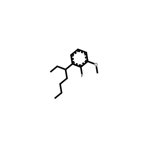 CCCCC(CC)c1cccc(OC)c1F